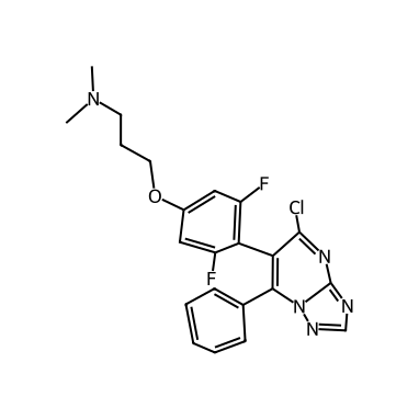 CN(C)CCCOc1cc(F)c(-c2c(Cl)nc3ncnn3c2-c2ccccc2)c(F)c1